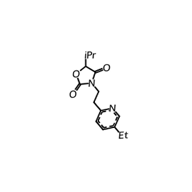 CCc1ccc(CCN2C(=O)OC(C(C)C)C2=O)nc1